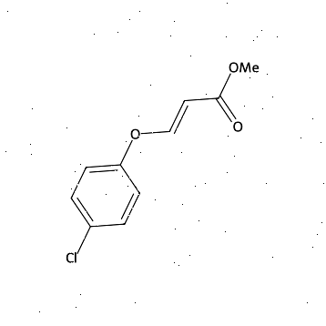 COC(=O)C=COc1ccc(Cl)cc1